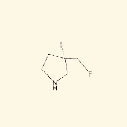 C[C@@]1(CF)CCNC1